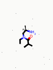 CCN(C[C@@H](C)N)C(=O)C(C)C